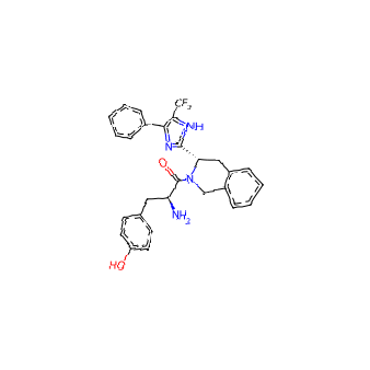 N[C@@H](Cc1ccc(O)cc1)C(=O)N1Cc2ccccc2C[C@H]1c1nc(-c2ccccc2)c(C(F)(F)F)[nH]1